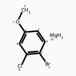 COc1ccc(Br)c(Cl)c1.[MgH2]